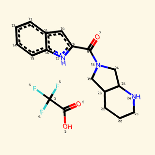 O=C(O)C(F)(F)F.O=C(c1cc2ccccc2[nH]1)N1CC2CCCNC2C1